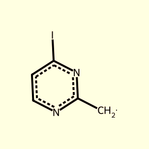 [CH2]c1nccc(I)n1